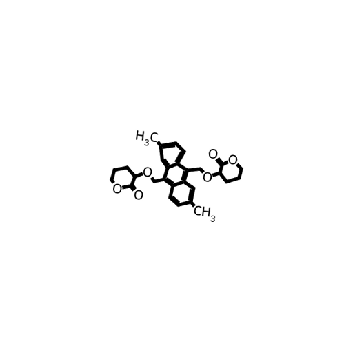 Cc1ccc2c(COC3CCCOC3=O)c3cc(C)ccc3c(COC3CCCOC3=O)c2c1